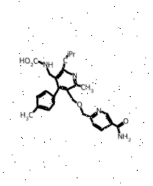 Cc1ccc(-c2c(COCc3ccc(C(N)=O)cn3)c(C)nc(CC(C)C)c2CNC(=O)O)cc1